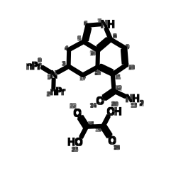 CCCN(CCC)C1Cc2c[nH]c3ccc(C(N)=O)c(c23)C1.O=C(O)C(=O)O